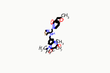 CCN1C(=O)C(C)(C)C(=O)N(C)c2cc(CNC(CCn3ccc4oc(C)cc4c3=O)c3cscn3)ccc21